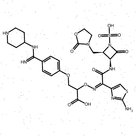 N=C(NC1CCNCC1)c1ccc(OCC(O/N=C(\C(=O)N[C@@H]2C(=O)N(S(=O)(=O)O)[C@@H]2CN2CCOC2=O)c2csc(N)n2)C(=O)O)cc1